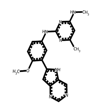 CNc1cc(C)nc(Nc2ccc(OC)c(-c3cc4ncncc4[nH]3)c2)n1